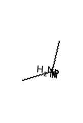 CCCCCCCCCCCCCCCCCCCCC(N)(CCCCCCCCCCCCCCCCCCCC)n1nnc2ccccc21